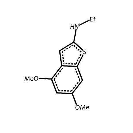 CCNc1cc2c(OC)cc(OC)cc2s1